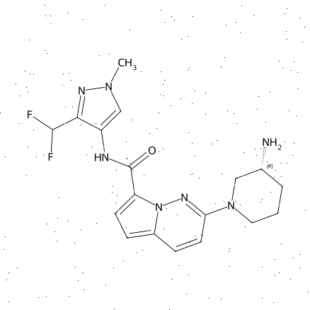 Cn1cc(NC(=O)c2ccc3ccc(N4CCC[C@@H](N)C4)nn23)c(C(F)F)n1